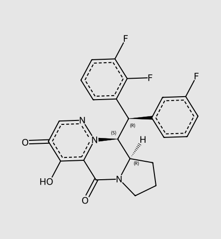 O=C1c2c(O)c(=O)cnn2[C@@H]([C@H](c2cccc(F)c2)c2cccc(F)c2F)[C@H]2CCCN12